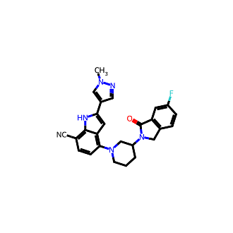 Cn1cc(-c2cc3c(N4CCCC(N5Cc6ccc(F)cc6C5=O)C4)ccc(C#N)c3[nH]2)cn1